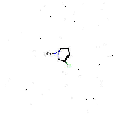 CCCN1CC[C]=C(Cl)C1